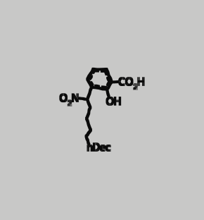 CCCCCCCCCCCCCCC(c1cccc(C(=O)O)c1O)[N+](=O)[O-]